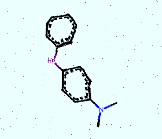 CN(C)c1ccc(Pc2ccccc2)cc1